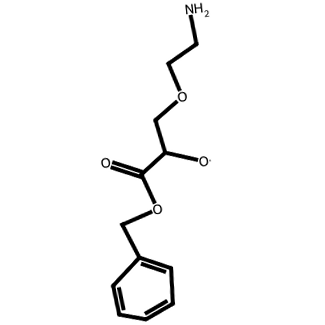 NCCOCC([O])C(=O)OCc1ccccc1